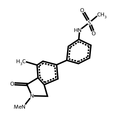 CNN1Cc2cc(-c3cccc(NS(C)(=O)=O)c3)cc(C)c2C1=O